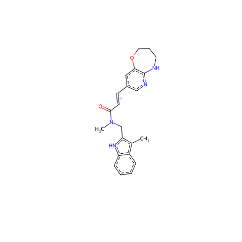 Cc1c(CN(C)C(=O)/C=C/c2cnc3c(c2)OCCCN3)[nH]c2ccccc12